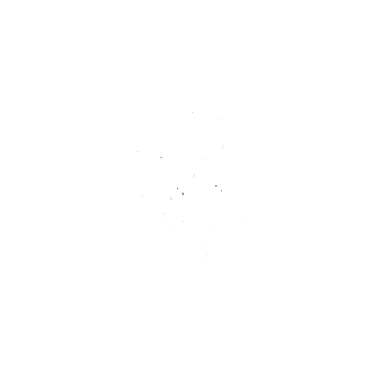 OC1=C(O)C(O)N(c2ccccc2)C(c2ccccc2)=N1